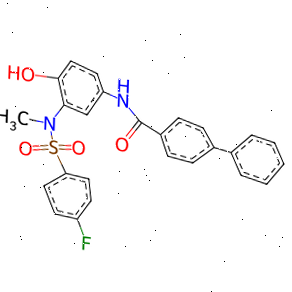 CN(c1cc(NC(=O)c2ccc(-c3ccccc3)cc2)ccc1O)S(=O)(=O)c1ccc(F)cc1